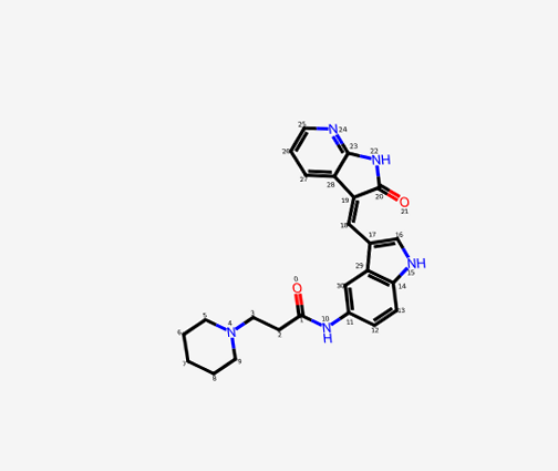 O=C(CCN1CCCCC1)Nc1ccc2[nH]cc(C=C3C(=O)Nc4ncccc43)c2c1